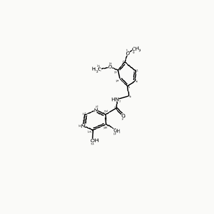 COc1ccc(CNC(=O)c2ncnc(O)c2O)cc1OC